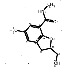 CNC(=O)c1cc(C)cc2c1OC(CO)C2